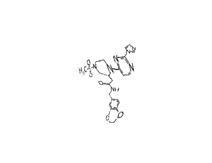 CS(=O)(=O)N1CCN(c2ccnc(-n3ccnc3)n2)C(CC(=O)NCc2ccc3c(c2)OCCO3)C1